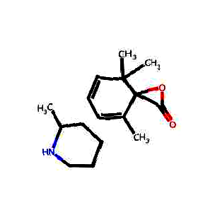 CC1=CC=CC(C)(C)C12OC2=O.CC1CCCCN1